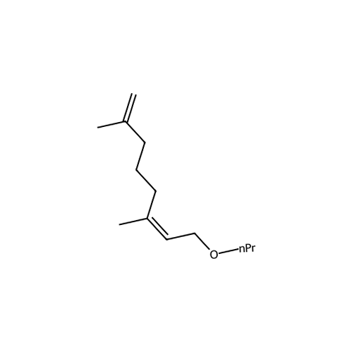 C=C(C)CCCC(C)=CCOCCC